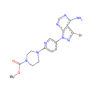 CC(C)(C)OC(=O)N1CCN(c2ccc(-n3nc(Br)c4c(N)ncnc43)cn2)CC1